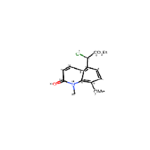 CCOC(=O)C(Cl)c1ccc(OC)c2c1ccc(=O)n2C